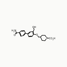 NC(=O)c1ccc(-c2ccc(OCC3CCN(C(=O)O)CC3)c(CO)c2)cc1